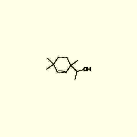 CC(O)C1(C)C=CC(C)(C)CC1